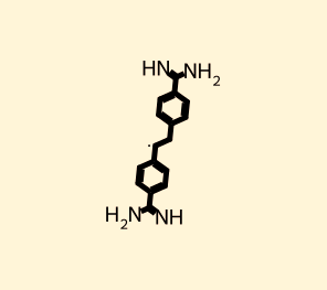 N=C(N)c1ccc([CH]Cc2ccc(C(=N)N)cc2)cc1